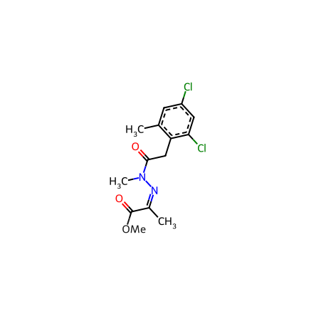 COC(=O)C(C)=NN(C)C(=O)Cc1c(C)cc(Cl)cc1Cl